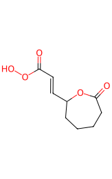 O=C(C=CC1CCCCC(=O)O1)OO